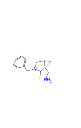 CC1N(Cc2ccccc2)CC2CC21CN